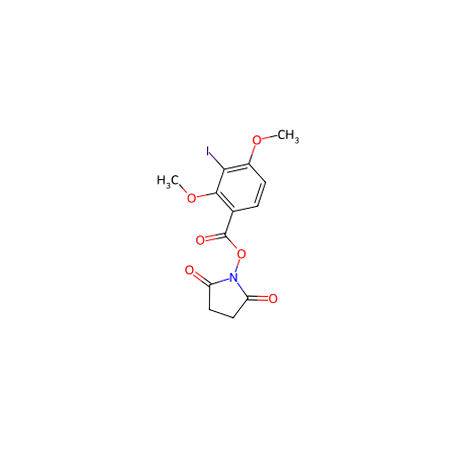 COc1ccc(C(=O)ON2C(=O)CCC2=O)c(OC)c1I